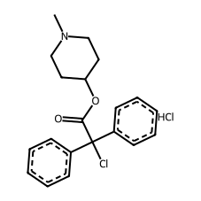 CN1CCC(OC(=O)C(Cl)(c2ccccc2)c2ccccc2)CC1.Cl